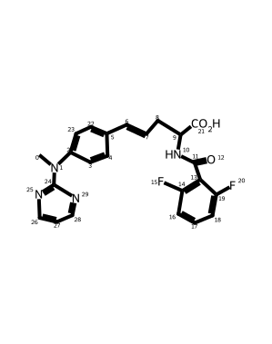 CN(c1ccc(C=CCC(NC(=O)c2c(F)cccc2F)C(=O)O)cc1)c1ncccn1